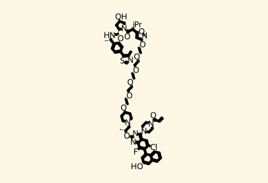 C=CC(=O)N1CCN(c2nc(O[C@H](C)CN3CCC(OCCOCCOCCOCCOCCOc4cc(C(C(=O)N5C[C@H](O)C[C@H]5C(=O)N[C@@H](C)c5ccc(-c6scnc6C)cc5)C(C)C)on4)CC3)nc3c(F)c(-c4cc(O)cc5ccccc45)c(Cl)cc23)CC1